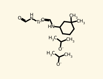 CC(C)[O-].CC(C)[O-].CC1(C)CCCC(NC=O)C1.O=C[NH][Ti+2]